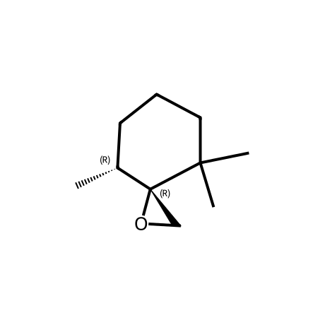 C[C@@H]1CCCC(C)(C)[C@@]12CO2